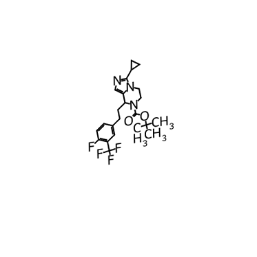 CC(C)(C)OC(=O)N1CCn2c(cnc2C2CC2)C1CCc1ccc(F)c(C(F)(F)F)c1